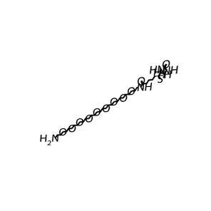 NCCOCCOCCOCCOCCOCCOCCOCCOCCOCCNC(=O)CCCC[C@@H]1SC[C@@H]2NC(=O)N[C@@H]21